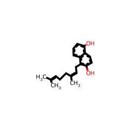 CC(C)=CCCC(C)=CCc1c(O)ccc2c(O)cccc12